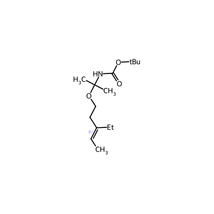 C/C=C(\CC)CCOC(C)(C)NC(=O)OC(C)(C)C